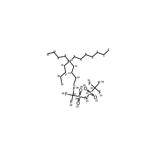 CCCCCCC[N+](CCCC)(CCCC)CCCC.O=S(=O)([N-]S(=O)(=O)C(F)(F)F)C(F)(F)F